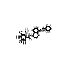 Nc1c(C(=O)NC2CCCc3c(NCc4ccccc4)cccc32)[nH]c(=O)[nH]c1=O